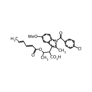 CC=CC=CC(=O)OC(C)C(C(=O)O)c1c(C)n(C(=O)c2ccc(Cl)cc2)c2ccc(OC)cc12